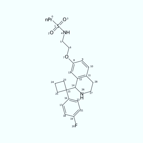 CCCS(=O)(=O)NCCOc1ccc2c(c1)C(C1(c3ccc(F)cc3)CCC1)NCC2